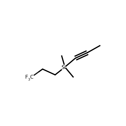 CC#C[Si](C)(C)CCC(F)(F)F